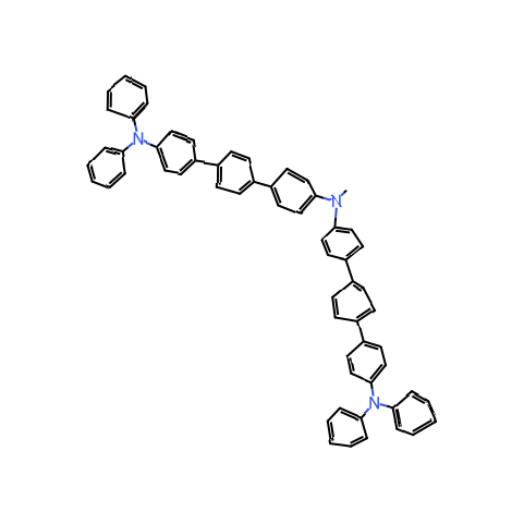 CN(c1ccc(-c2ccc(-c3ccc(N(c4ccccc4)c4ccccc4)cc3)cc2)cc1)c1ccc(-c2ccc(-c3ccc(N(c4ccccc4)c4ccccc4)cc3)cc2)cc1